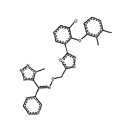 Cc1cccc(Oc2c(Cl)cccc2-c2nnc(CO/N=C(/c3ccccc3)c3nnnn3C)o2)c1C